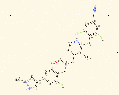 Cc1c(CN(C=O)Cc2ccc(-c3cnn(C)c3)cc2F)ccnc1Oc1c(F)cc(C#N)cc1F